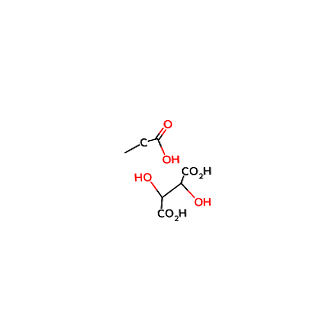 CCC(=O)O.O=C(O)C(O)C(O)C(=O)O